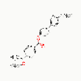 CCCCCCCCCOC(C)c1ccc(C(=O)Oc2ccc(-c3ccc(CCCCCCCCC)cc3)cc2)cc1